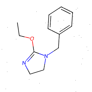 CCOC1=NCCN1Cc1ccccc1